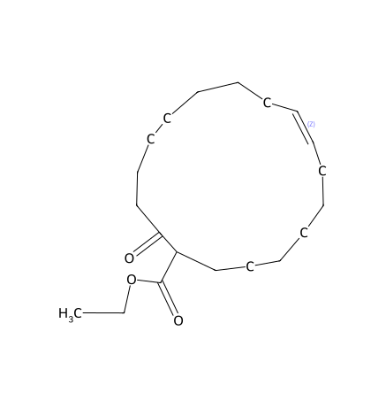 CCOC(=O)C1CCCCCC/C=C\CCCCCCCC1=O